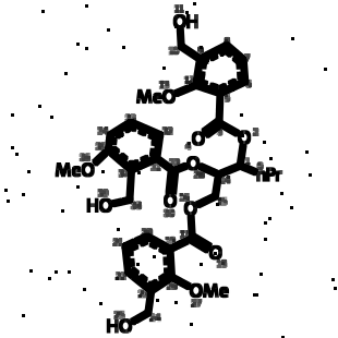 CCCC(OC(=O)c1cccc(CO)c1OC)C(COC(=O)c1cccc(CO)c1OC)OC(=O)c1cccc(OC)c1CO